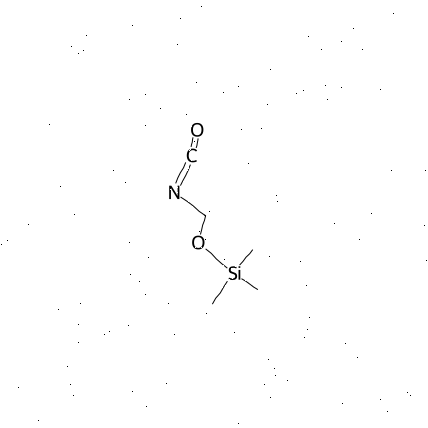 C[Si](C)(C)OCN=C=O